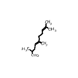 CC(C)=CCC/C(C)=C/CC(C)C=O